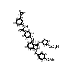 COc1ccc(Cn2nc(NC3CCN(C(=O)O)C3)c3c(Oc4ccc(C(=O)Nc5cc(C6CC6)ccn5)cc4)ccnc32)cc1